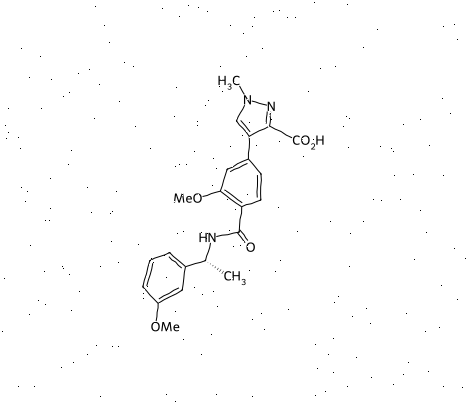 COc1cccc([C@@H](C)NC(=O)c2ccc(-c3cn(C)nc3C(=O)O)cc2OC)c1